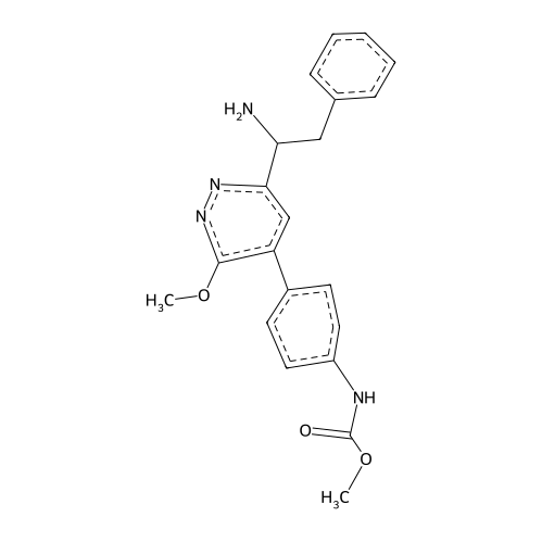 COC(=O)Nc1ccc(-c2cc(C(N)Cc3ccccc3)nnc2OC)cc1